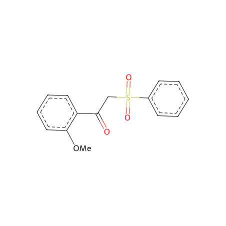 COc1ccccc1C(=O)CS(=O)(=O)c1ccccc1